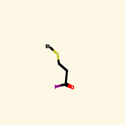 CCSCCC(=O)I